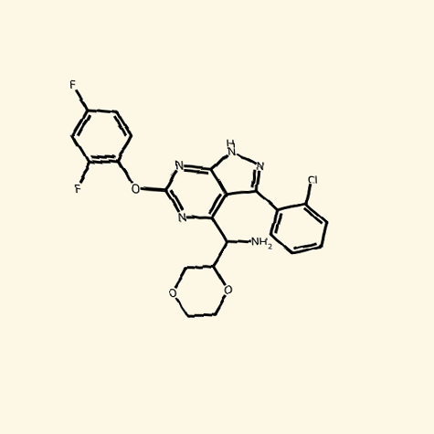 NC(c1nc(Oc2ccc(F)cc2F)nc2[nH]nc(-c3ccccc3Cl)c12)C1COCCO1